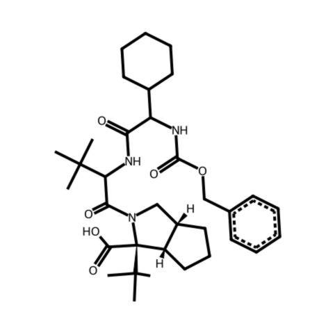 CC(C)(C)C(NC(=O)C(NC(=O)OCc1ccccc1)C1CCCCC1)C(=O)N1C[C@@H]2CCC[C@@H]2[C@@]1(C(=O)O)C(C)(C)C